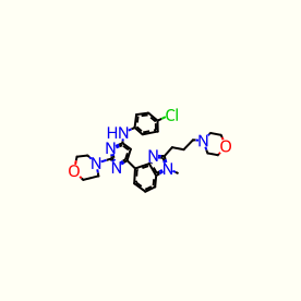 Cn1c(CCCN2CCOCC2)nc2c(-c3cc(Nc4ccc(Cl)cc4)nc(N4CCOCC4)n3)cccc21